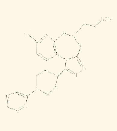 CNCCN1Cc2cc(Cl)ccc2-n2c(nnc2C2CCN(c3ccccn3)CC2)C1